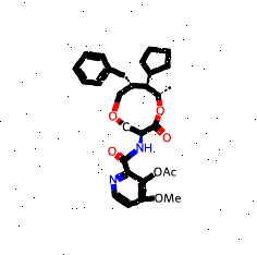 COc1ccnc(C(=O)N[C@H]2COC[C@H](Cc3ccccc3)[C@@H](C3CCCC3)[C@H](C)OC2=O)c1OC(C)=O